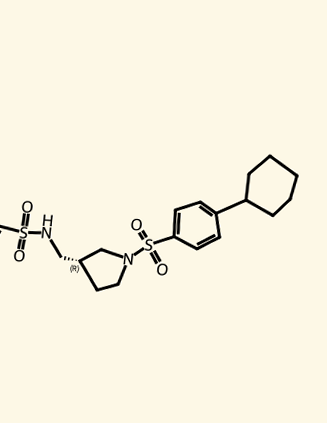 C=CS(=O)(=O)NC[C@H]1CCN(S(=O)(=O)c2ccc(C3CCCCC3)cc2)C1